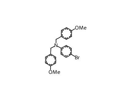 COc1ccc(CN(Cc2ccc(OC)cc2)c2ccc(Br)cc2)cc1